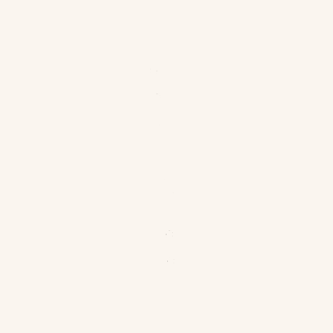 O=[C]OCCCCCCCCCOC=O